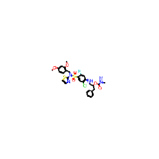 CNC(=O)OC(CNc1cc(F)c(S(=O)(=O)N(Cc2ccc(OC)cc2OC)c2nccs2)cc1Cl)Cc1ccccc1